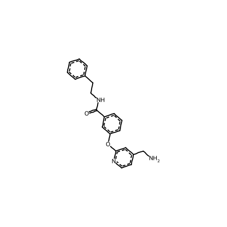 NCc1ccnc(Oc2cccc(C(=O)NCCc3ccccc3)c2)c1